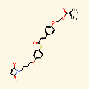 C=C(C)C(=O)OCCOc1ccc(/C=C/C(=O)Sc2ccc(OCCCCN3C(=O)C=CC3=O)cc2)cc1